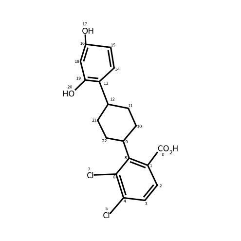 O=C(O)c1ccc(Cl)c(Cl)c1C1CCC(c2ccc(O)cc2O)CC1